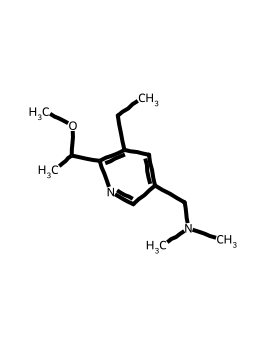 CCc1cc(CN(C)C)cnc1C(C)OC